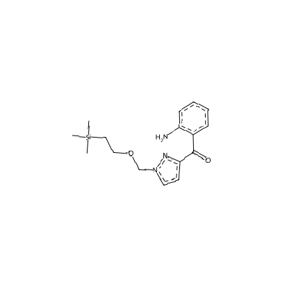 C[Si](C)(C)CCOCn1ccc(C(=O)c2ccccc2N)n1